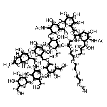 CC(=O)NC1[C@H](OC2[C@@H](OCC3O[C@@H](O[C@@H]4C(CO)O[C@H]5OC(C)=N[C@H]5C4O)C(O)[C@@H](O[C@H]4O[C@@H](CO)[C@@H](O)C(O)C4O[C@@H]4OC(CO)[C@@H](O[C@@H]5OC(CO[C@]6(C(=O)NCCOCCOCCOCCN=[N+]=[N-])C[C@@H](O)[C@@H](NC(C)=O)C([C@H](O)[C@H](O)CO)O6)[C@H](O)[C@H](O)C5O)[C@H](O)C4NC(C)=O)[C@@H]3O)OC(CO)[C@@H](O)[C@@H]2O)OC(CO)[C@@H](O[C@H]2C[C@@H](O)[C@@H](O)C(CO)O2)[C@@H]1O